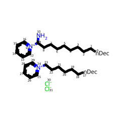 CCCCCCCCCCCCCCCCCCC(N)[n+]1ccccc1.CCCCCCCCCCCCCCCC[n+]1ccccc1.[Cl-].[Cl-]